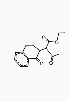 CCOC(=O)C(C(C)=O)C1CCc2ccccc2C1=O